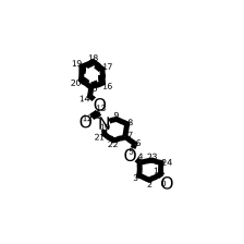 O=C1CCC(OCC2CCN(C(=O)OCc3ccccc3)CC2)CC1